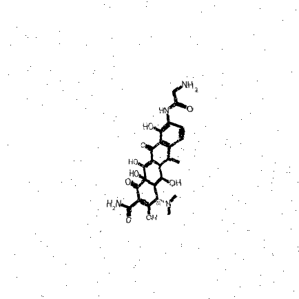 CC1c2ccc(NC(=O)CN)c(O)c2C(=O)C2=C(O)C3(O)C(=O)C(C(N)=O)=C(O)[C@@H](N(C)C)C3C(O)C21